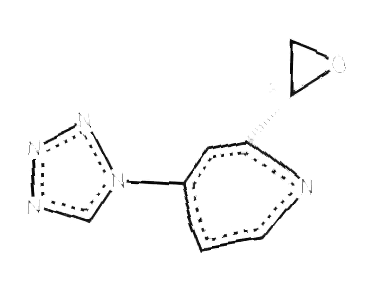 c1cc(-n2cnnn2)cc([C@@H]2CO2)n1